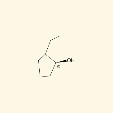 CCC1CCC[C@@H]1O